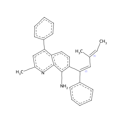 C/C=C(C)/C=C(/c1ccccc1)c1ccc2c(-c3ccccc3)cc(C)nc2c1N